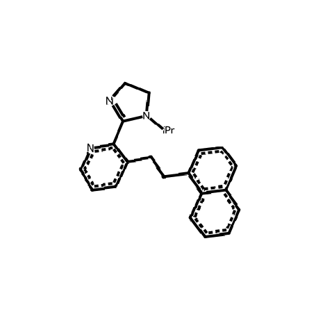 CC(C)N1CCN=C1c1ncccc1CCc1cccc2ccccc12